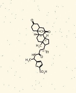 CC[C@H](CC(=O)NC(C)c1ccc(S(=O)(=O)O)s1)C1CC[C@H]2C3C(=O)CC4CC(=O)CCC4(C)[C@H]3CCC12C